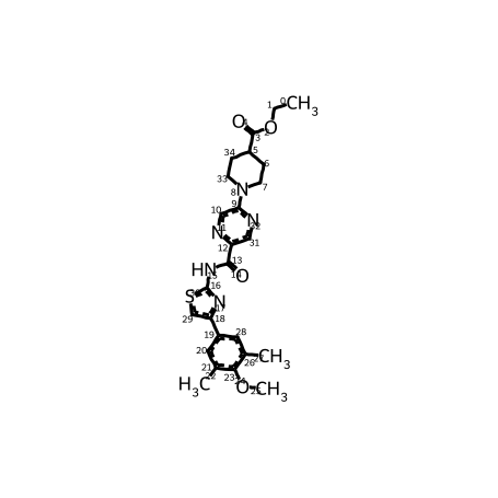 CCOC(=O)C1CCN(c2cnc(C(=O)Nc3nc(-c4cc(C)c(OC)c(C)c4)cs3)cn2)CC1